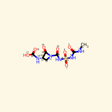 CNC(=O)NS(=O)(=O)NC(=O)N1C[C@H](NC(=O)O)C1=O